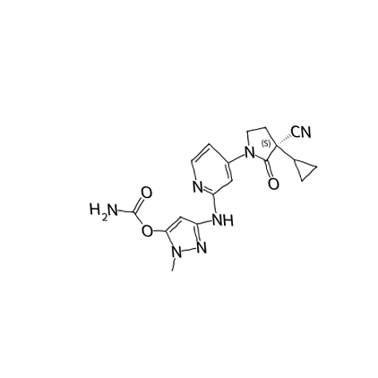 Cn1nc(Nc2cc(N3CC[C@@](C#N)(C4CC4)C3=O)ccn2)cc1OC(N)=O